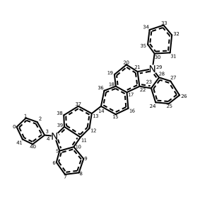 c1ccc(-n2c3ccccc3c3cc(-c4ccc5c(ccc6c5c5ccccc5n6-c5ccccc5)c4)ccc32)cc1